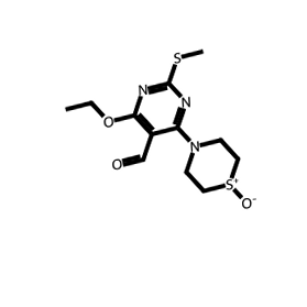 CCOc1nc(SC)nc(N2CC[S+]([O-])CC2)c1C=O